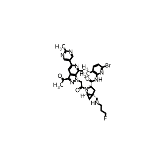 CC(=O)c1nn(CC(=O)N2[C@H](C(=O)Nc3nc(Br)ccc3C)C[C@@]3(CNCCCF)C[C@@H]23)c2c(C)nc(-c3cnc(C)nc3)cc12